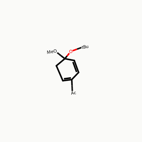 COC1(OC(C)(C)C)C=CC(C(C)=O)=CC1